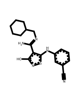 N#Cc1cccc(Nc2snc(O)c2C(N)=NCC2CCCCC2)c1